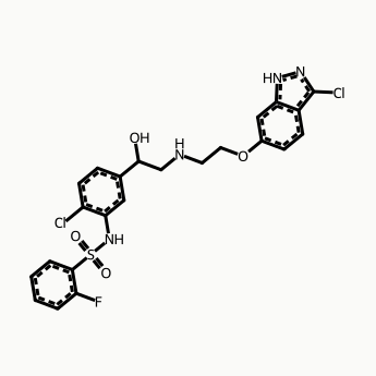 O=S(=O)(Nc1cc(C(O)CNCCOc2ccc3c(Cl)n[nH]c3c2)ccc1Cl)c1ccccc1F